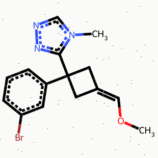 COC=C1CC(c2cccc(Br)c2)(c2nncn2C)C1